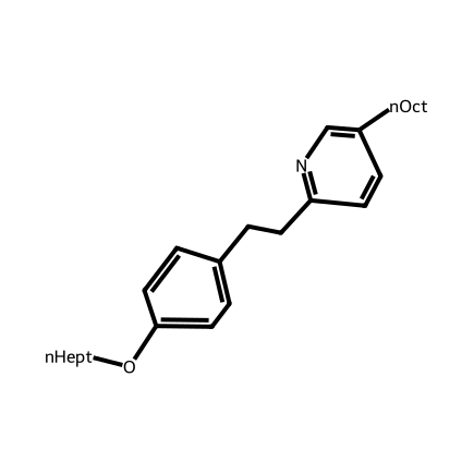 CCCCCCCCc1ccc(CCc2ccc(OCCCCCCC)cc2)nc1